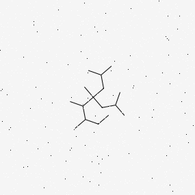 CCC(C)[C](C)C(C)(CC(C)C)CC(C)C